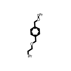 CCCOCc1ccc(COCCC(C)C)cc1